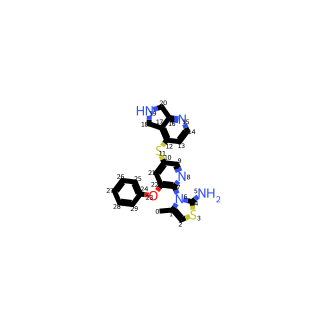 CC1=CSC(N)N1c1ncc(Sc2ccnc3c2CNC3)cc1Oc1ccccc1